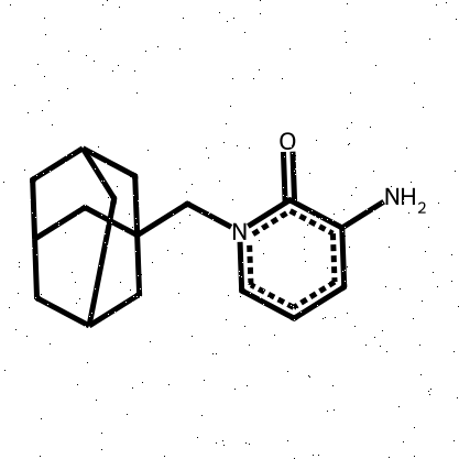 Nc1cccn(CC23CC4CC(CC(C4)C2)C3)c1=O